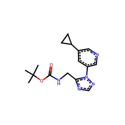 CC(C)(C)OC(=O)NCc1ncnn1-c1cncc(C2CC2)c1